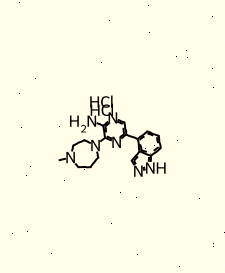 CN1CCCN(c2nc(-c3cccc4[nH]ncc34)cnc2N)CC1.Cl.Cl